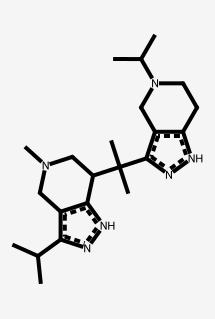 CC(C)c1n[nH]c2c1CN(C)CC2C(C)(C)c1n[nH]c2c1CN(C(C)C)CC2